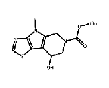 Cn1c2c(c3scnc31)C(O)CN(C(=O)OC(C)(C)C)C2